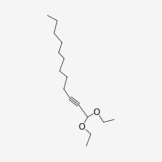 CCCCCCCCCC#CC(OCC)OCC